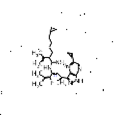 C=C(/C=C(/NC(N)C(CCCCC1CC1)C(=C)C)C(F)=C(C)C)c1n[nH]c2ncc(C3CC3)nc12